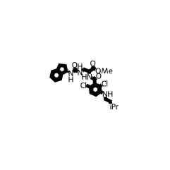 COC(=O)C(CNC(=O)N[C@@H]1CCc2ccccc21)NC(=O)c1c(Cl)ccc(NCCC(C)C)c1Cl